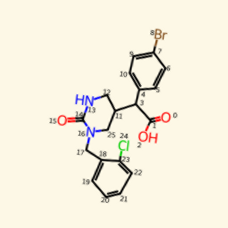 O=C(O)C(c1ccc(Br)cc1)C1CNC(=O)N(Cc2ccccc2Cl)C1